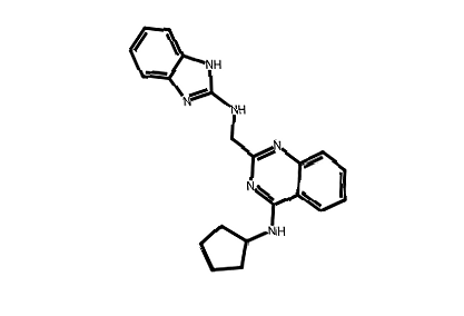 c1ccc2[nH]c(NCc3nc(NC4CCCC4)c4ccccc4n3)nc2c1